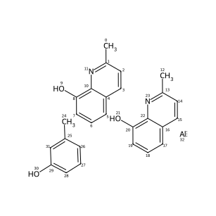 Cc1ccc2cccc(O)c2n1.Cc1ccc2cccc(O)c2n1.Cc1cccc(O)c1.[Al]